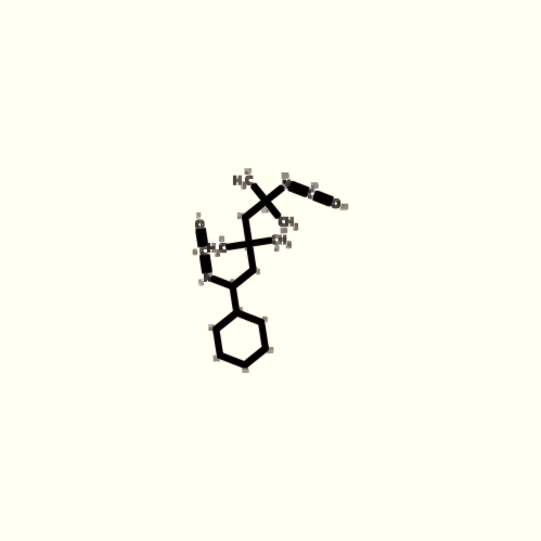 CC(C)(CC(N=C=O)C1CCCCC1)CC(C)(C)N=C=O